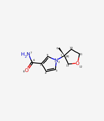 C[C@@]1(n2ccc(C(N)=O)c2)CCOC1